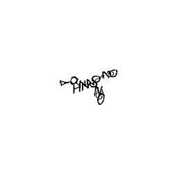 C(=NNc1cc(N2CCOCC2)cc(OCCN2CCOCC2)n1)c1cccc(C2CC2)c1